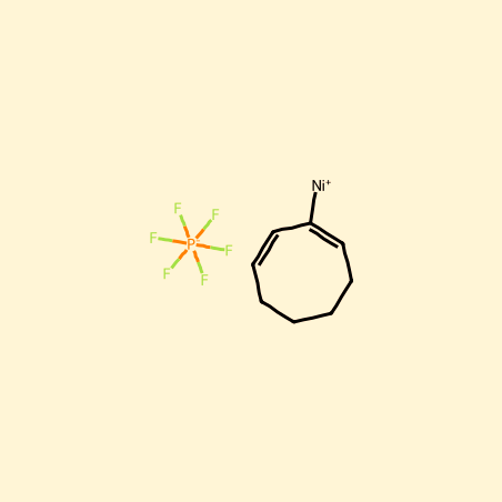 F[P-](F)(F)(F)(F)F.[Ni+][C]1=CCCCCC=C1